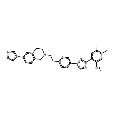 Cc1cc(N)c(-c2nnn(-c3ccc(CCN4CCc5cc(-n6ccnc6)ccc5C4)cc3)n2)cc1C